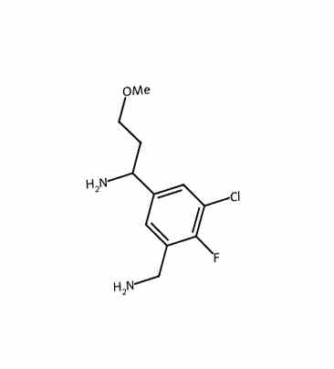 COCCC(N)c1cc(Cl)c(F)c(CN)c1